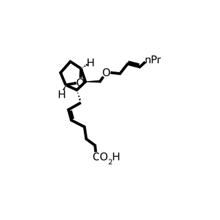 CCCC=CCOC[C@H]1[C@H](C/C=C\CCCC(=O)O)[C@H]2CC[C@@H]1O2